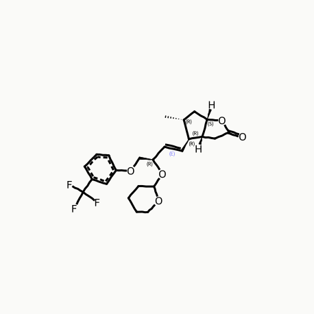 C[C@@H]1C[C@@H]2OC(=O)C[C@@H]2[C@H]1/C=C/[C@H](COc1cccc(C(F)(F)F)c1)OC1CCCCO1